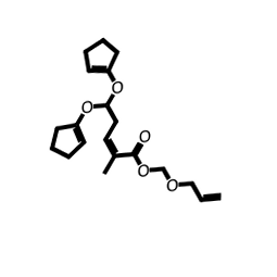 C=CCOCOC(=O)C(C)=CCC(OC1=CCCC1)OC1=CCCC1